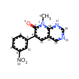 Cn1c(=O)c(-c2cccc([N+](=O)[O-])c2)cc2cncnc21